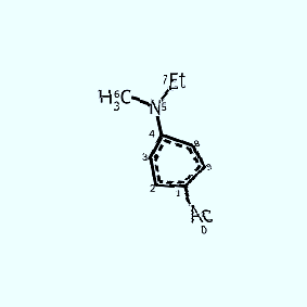 [CH2]C(=O)c1ccc(N(C)CC)cc1